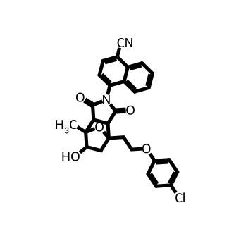 CC12OC(CCOc3ccc(Cl)cc3)(CC1O)C1C(=O)N(c3ccc(C#N)c4ccccc34)C(=O)C12